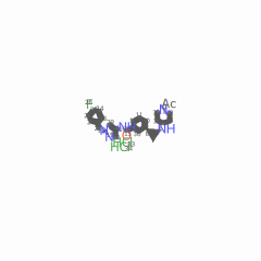 CC(=O)N1CCC(N[C@@H]2C[C@H]2c2cccc(C(=O)Nc3cnn(Cc4ccc(F)cc4)c3)c2)CC1.Cl.Cl